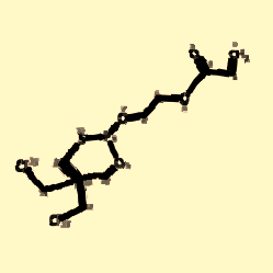 C=CC(=O)OCCOP1OCC(CCl)(CCl)CS1